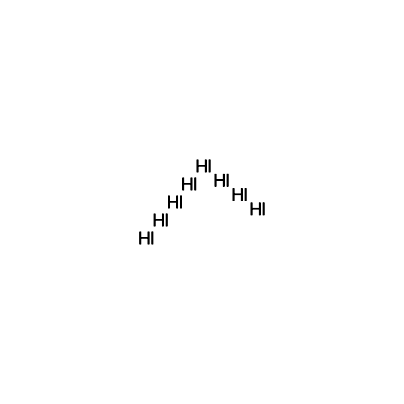 I.I.I.I.I.I.I.I